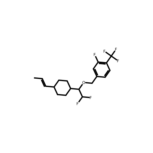 C/C=C/C1CCC(C(OCc2ccc(C(F)(F)F)c(F)c2)C(F)F)CC1